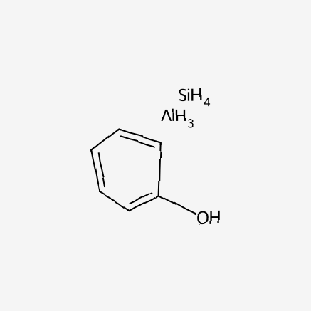 Oc1ccccc1.[AlH3].[SiH4]